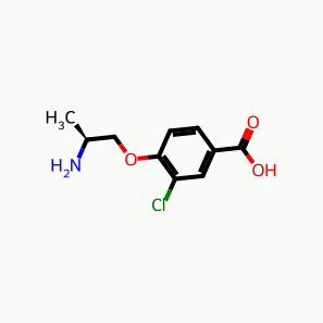 C[C@H](N)COc1ccc(C(=O)O)cc1Cl